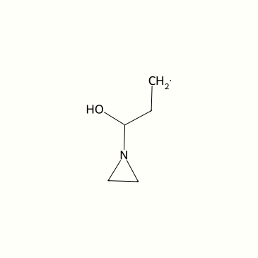 [CH2]CC(O)N1CC1